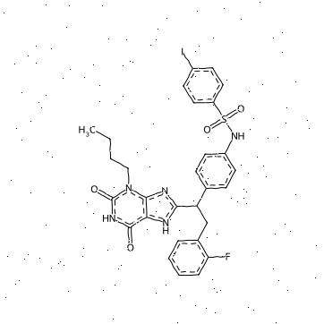 CCCCn1c(=O)[nH]c(=O)c2[nH]c(C(Cc3ccccc3F)c3ccc(NS(=O)(=O)c4ccc(I)cc4)cc3)nc21